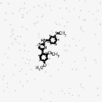 COc1ccc(-c2csc(Nc3cccc(SC)c3)n2)c(OC)c1